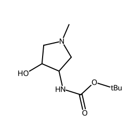 CN1CC(O)C(NC(=O)OC(C)(C)C)C1